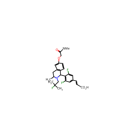 CNC(=O)COc1ccc2c(c1)CC(C)N(CC(C)(C)F)C2c1c(F)cc(/C=C/C(=O)O)cc1F